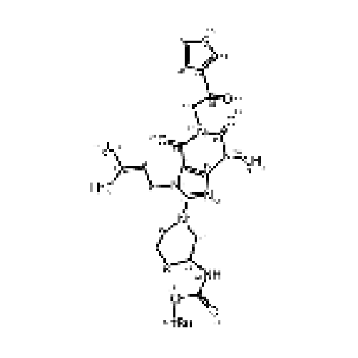 CC(C)=CCn1c(N2CCCC(NC(=O)OC(C)(C)C)C2)nc2c1c(=O)n(CC(=O)c1ccsc1)c(=O)n2C